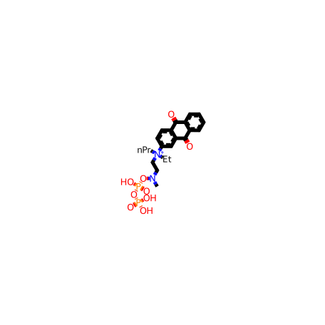 CCC[N+](CC)(CCN(C)OP(=O)(O)OP(=O)(O)O)c1ccc2c(c1)C(=O)c1ccccc1C2=O